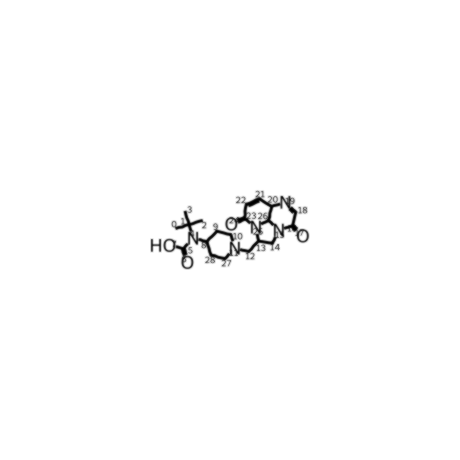 CC(C)(C)N(C(=O)O)C1CCN(CC2CN3C(=O)C=NC4C=CC(=O)N2C43)CC1